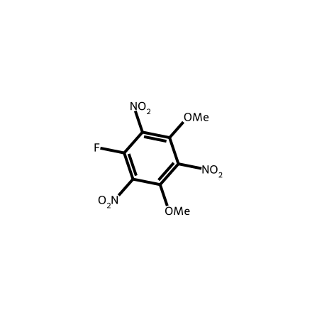 COc1c([N+](=O)[O-])c(F)c([N+](=O)[O-])c(OC)c1[N+](=O)[O-]